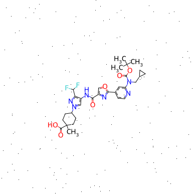 CC(C)(C)OC(=O)N(CC1CC1)c1cc(-c2nc(C(=O)Nc3cn(C4CCC(C)(C(=O)O)CC4)nc3C(F)F)co2)ccn1